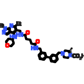 CCc1nc2c(cnn2CC)c(NC2CCOCC2)c1CNC(=O)CCCC(=O)NCc1cccc(-c2cccc(CN3CCN(C(=O)O)[C@@H](C)C3)c2)c1